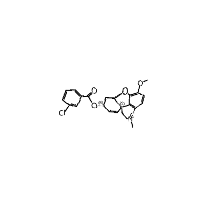 COc1ccc2c3c1OC1C[C@@H](OC(=O)c4cccc(Cl)c4)C=C[C@@]31CCN(C)C2